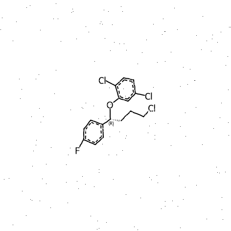 Fc1ccc([C@@H](CCCCl)Oc2cc(Cl)ccc2Cl)cc1